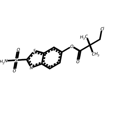 CC(C)(CCl)C(=O)Oc1ccc2nc(S(N)(=O)=O)sc2c1